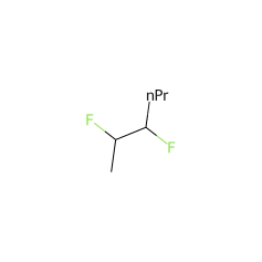 CCCC(F)C(C)F